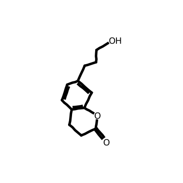 O=C1CCc2ccc(CCCO)cc2O1